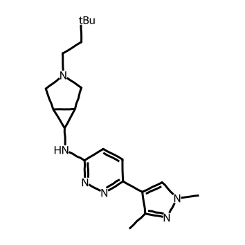 Cc1nn(C)cc1-c1ccc(NC2C3CN(CCC(C)(C)C)CC32)nn1